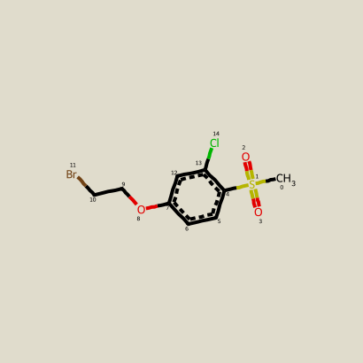 CS(=O)(=O)c1ccc(OCCBr)cc1Cl